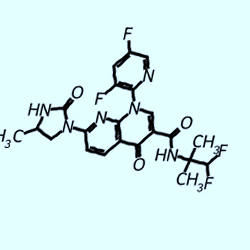 CC1CN(c2ccc3c(=O)c(C(=O)NC(C)(C)C(F)F)cn(-c4ncc(F)cc4F)c3n2)C(=O)N1